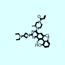 C=CC(=O)N1CCN(c2nc(N3CC(N(CC)CC)C3)nc3c(F)c(-c4c(O)cccc4F)c(Cl)cc23)[C@@H](C)C1